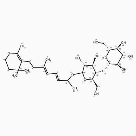 CC1=C(CC/C(C)=C/C=C/C(C)OC2O[C@H](CO)[C@@H](O[C@@H]3O[C@H](CO)[C@@H](O)[C@H](O)[C@H]3O)[C@H](O)[C@H]2O)C(C)(C)CCC1